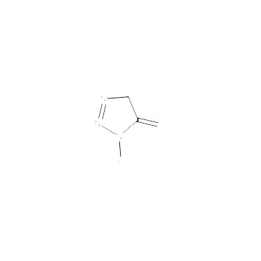 O=C1CN=NN1Cl